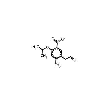 Cc1cc(OC(C)C)c([N+](=O)[O-])cc1CC=O